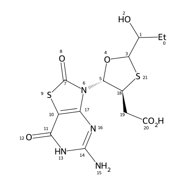 CCC(O)C1O[C@@H](n2c(=O)sc3c(=O)[nH]c(N)nc32)[C@H](CC(=O)O)S1